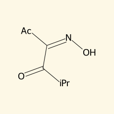 CC(=O)C(=NO)C(=O)C(C)C